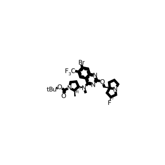 C[C@@H]1[C@H](N(C)c2nc(OC[C@@]34CCCN3C[C@H](F)C4)nc3cc(Br)c(C(F)(F)F)cc23)CCN1C(=O)OC(C)(C)C